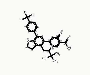 CC(C)(C)C1Cc2c(cc(-c3ccc(C(F)(F)F)cc3)c3c2CCO3)-c2cc(=O)c(C(=O)O)cn21